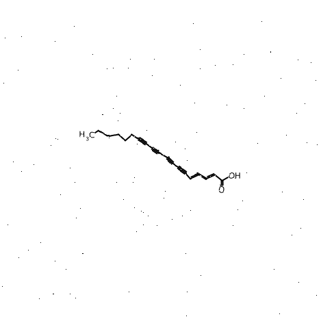 CCCCCCC#CC#CC#CC#CC=CC=CC(=O)O